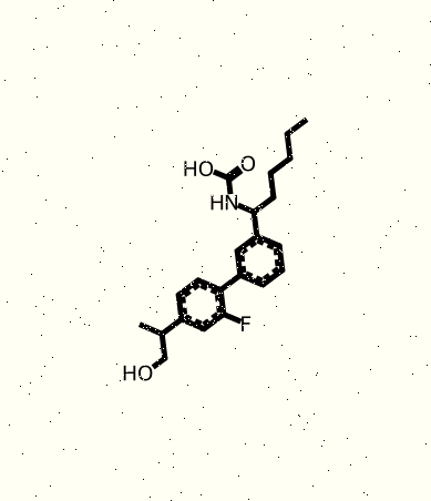 CCCCCC(NC(=O)O)c1cccc(-c2ccc(C(C)CO)cc2F)c1